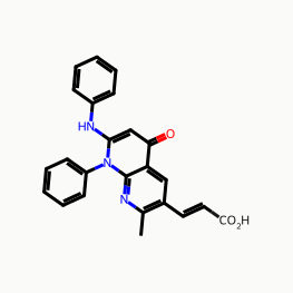 Cc1nc2c(cc1C=CC(=O)O)c(=O)cc(Nc1ccccc1)n2-c1ccccc1